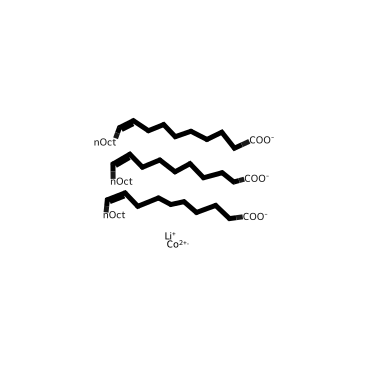 CCCCCCCC/C=C\CCCCCCCC(=O)[O-].CCCCCCCC/C=C\CCCCCCCC(=O)[O-].CCCCCCCC/C=C\CCCCCCCC(=O)[O-].[Co+2].[Li+]